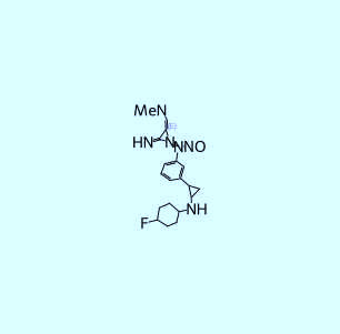 CN/C=C1\C(=N)N1N(N=O)c1cccc(C2CC2NC2CCC(F)CC2)c1